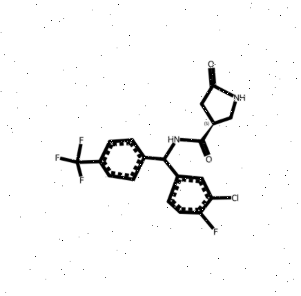 O=C1C[C@H](C(=O)NC(c2ccc(C(F)(F)F)cc2)c2ccc(F)c(Cl)c2)CN1